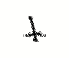 CC(C)(C)OC(=O)CCOCC(COCCC(=O)OC(C)(C)C)(COCCC(=O)OC(C)(C)C)NC(=O)CCOCCOCCOCCOCCN=[N+]=[N-]